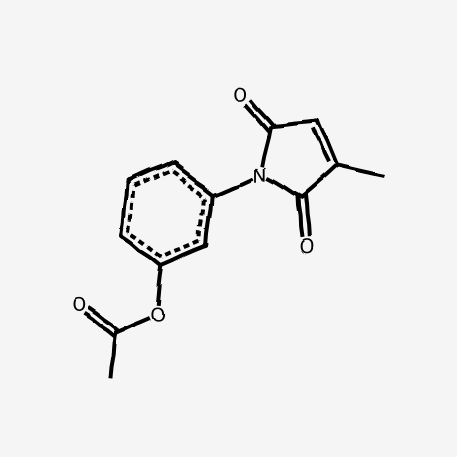 CC(=O)Oc1cccc(N2C(=O)C=C(C)C2=O)c1